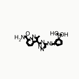 Cc1nn2c(C(N)=O)cccc2c1-c1nncc(NCc2cccc(B(O)O)c2)n1